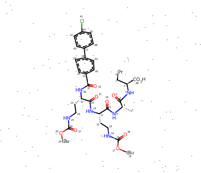 CC(C)C[C@H](NC(=O)[C@H](C)NC(=O)[C@H](CCNC(=O)OC(C)(C)C)NC(=O)[C@H](CCNC(=O)OC(C)(C)C)NC(=O)c1ccc(-c2ccc(Cl)cc2)cc1)C(=O)O